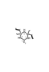 C=C[Si]1(C)N[SiH2]N[Si](C)(C=C)N1